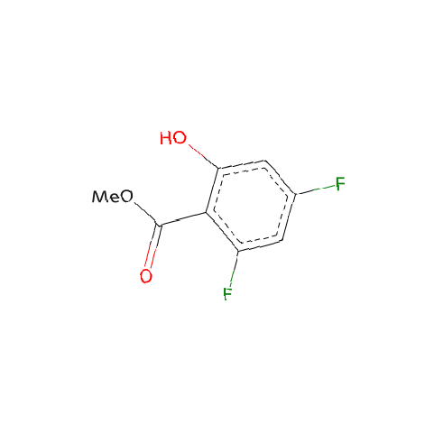 COC(=O)c1c(O)cc(F)cc1F